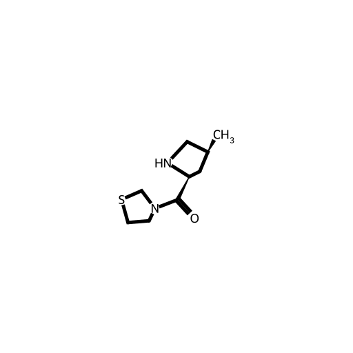 C[C@@H]1CN[C@H](C(=O)N2CCSC2)C1